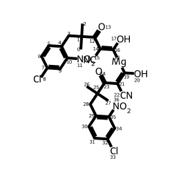 CC(C)(Cc1ccc(Cl)cc1[N+](=O)[O-])C(=O)C(C#N)=[C](O)[Mg][C](O)=C(C#N)C(=O)C(C)(C)Cc1ccc(Cl)cc1[N+](=O)[O-]